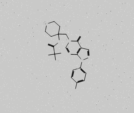 O=C(OC1(Cn2cnc3c(cnn3-c3ccc(F)cc3)c2=O)CCNCC1)C(F)(F)F